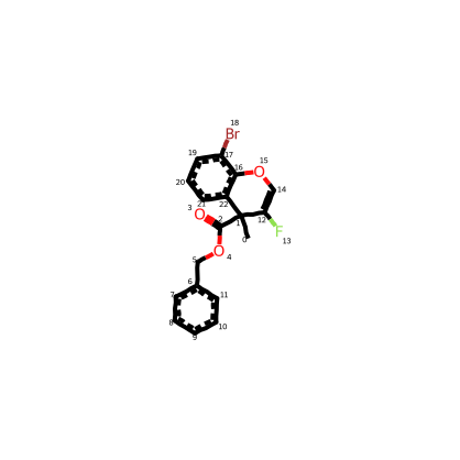 CC1(C(=O)OCc2ccccc2)C(F)=COc2c(Br)cccc21